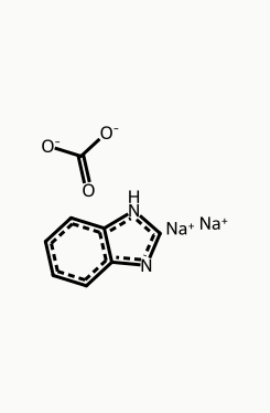 O=C([O-])[O-].[Na+].[Na+].c1ccc2[nH]cnc2c1